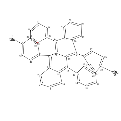 CC(C)(C)c1ccc(-c2c3ccccc3c(-c3ccccc3)c3c(-c4ccc(C(C)(C)C)cc4)c4ccccc4c(-c4ccccc4)c23)cc1